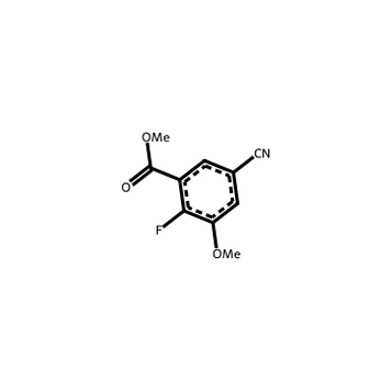 COC(=O)c1cc(C#N)cc(OC)c1F